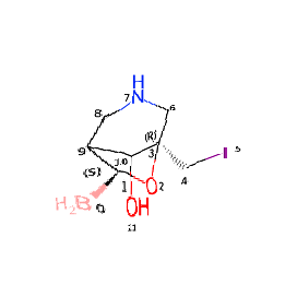 B[C@@H]1O[C@]2(CI)CNCC1C2O